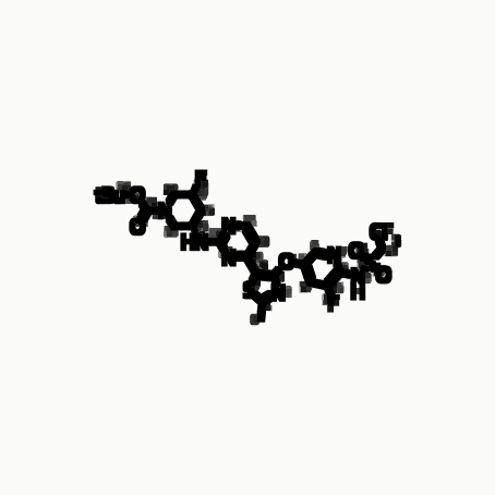 Cc1nc(Oc2cnc(NS(=O)(=O)CC(F)(F)F)c(F)c2)c(-c2ccnc(N[C@H]3C[C@H](F)CN(C(=O)OC(C)(C)C)C3)n2)s1